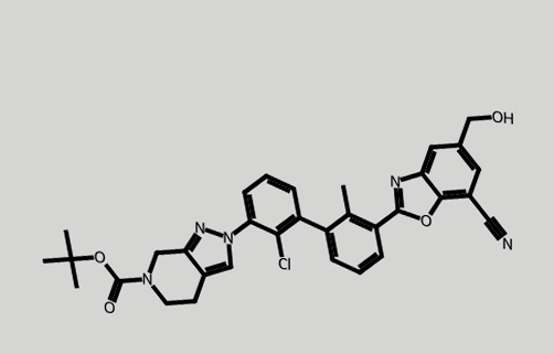 Cc1c(-c2nc3cc(CO)cc(C#N)c3o2)cccc1-c1cccc(-n2cc3c(n2)CN(C(=O)OC(C)(C)C)CC3)c1Cl